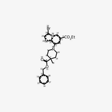 CCOC(=O)c1cc(N2CCC(C)(C(=O)OCc3ccccc3)CC2)c2ncc(Br)n2c1